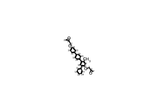 Cc1cc(OCC2CO2)c(-c2ccccc2)cc1-c1ccc(-c2ccc(OCC3CO3)cc2)cc1